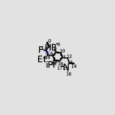 C=C/C(F)=C(/CC)c1c(BC)cc(CC(=C)N(C)C)cc1C(C)C